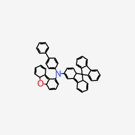 C1=CC2=C3C(N(C4=CC5=C6C=CC=CC6C6(c7ccccc7-c7ccccc76)C5C=C4)c4ccc(-c5ccccc5)cc4)=CC=CC3OC2C=C1